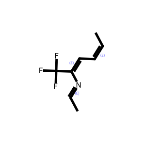 C\C=C/C=C(\N=C\C)C(F)(F)F